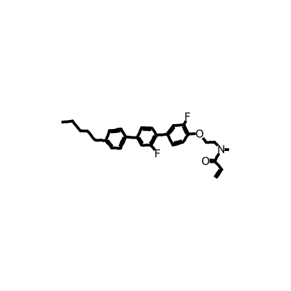 C=CC(=O)N(C)CCOc1ccc(-c2ccc(-c3ccc(CCCCC)cc3)cc2F)cc1F